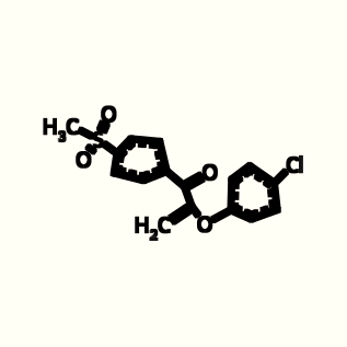 C=C(Oc1ccc(Cl)cc1)C(=O)c1ccc(S(C)(=O)=O)cc1